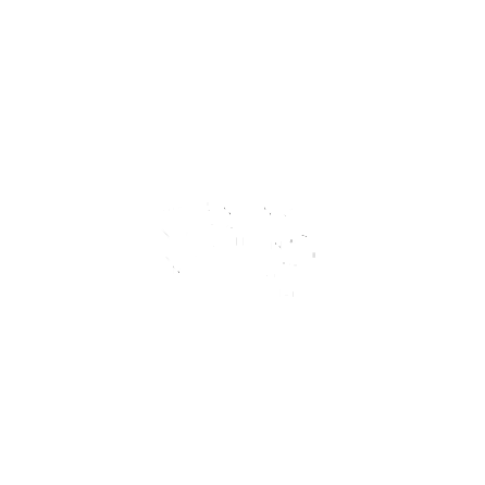 CC(C)C[C@@H](NC(=O)OC(C)(C)C)C(=O)N1CCCN(S(=O)(=O)c2cccc3cncc(F)c23)[C@@H](C)C1